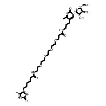 Cc1nc(=O)n([C@@H]2O[C@H](CO)C(O)[C@@H]2O)cc1CCCNC(=O)CCOCCOCCOCCOCCNC(=O)CCCCC[C@H]1NC(=O)N[C@H]1C